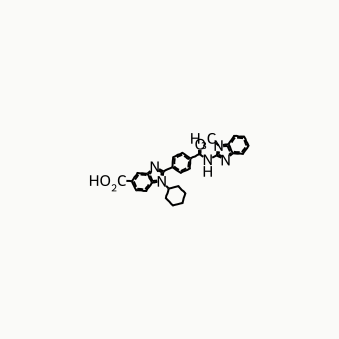 Cn1c(NC(=O)c2ccc(-c3nc4cc(C(=O)O)ccc4n3C3CCCCC3)cc2)nc2ccccc21